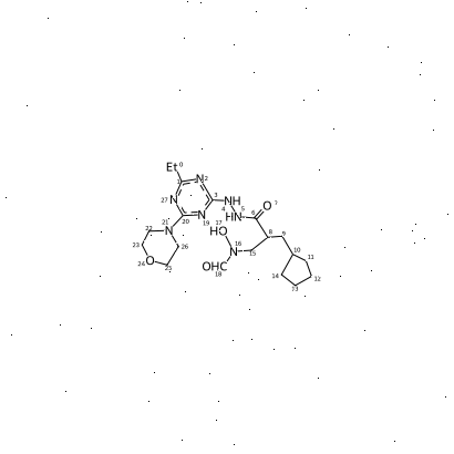 CCc1nc(NNC(=O)C(CC2CCCC2)CN(O)C=O)nc(N2CCOCC2)n1